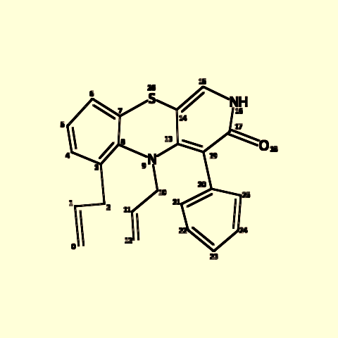 C=CCc1cccc2c1N(CC=C)c1c(c[nH]c(=O)c1-c1ccccc1)S2